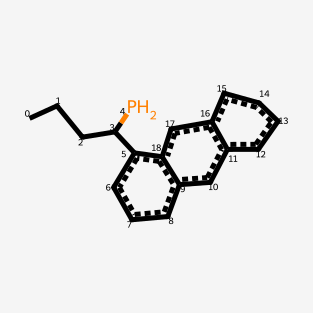 CCCC(P)c1cccc2cc3ccccc3cc12